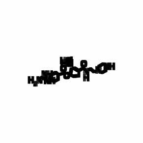 Cl.Cl.N=C(N)Nc1ccc(C(=O)Oc2ccc(C(=O)NCCN3CCNCC3)cc2)cc1